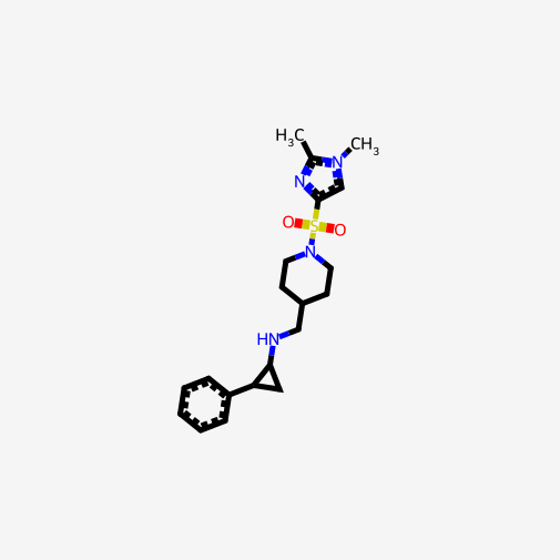 Cc1nc(S(=O)(=O)N2CCC(CNC3CC3c3ccccc3)CC2)cn1C